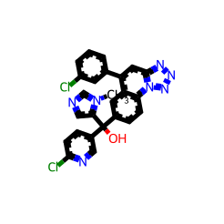 Cn1cncc1C(O)(c1ccc(Cl)nc1)c1ccc2c(c1)c(-c1cccc(Cl)c1)cc1nnnn12